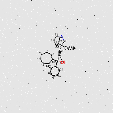 CO[C@]1(C#C[C@@](O)(c2ccccc2)C2CCCCCC2)CN2CCC1CC2